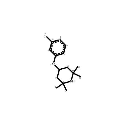 CC1(C)CC(Oc2ccnc(Cl)c2)CC(C)(C)N1